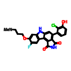 CNCCCOc1cc2[nH]c3cc(-c4cccc(O)c4Cl)c4c(c3c2cc1F)C(=O)NC4=O